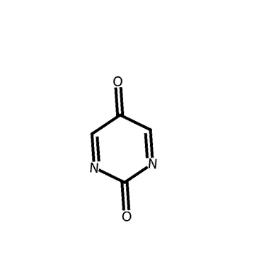 O=C1C=NC(=O)N=C1